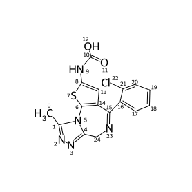 Cc1nnc2n1-c1sc(NC(=O)O)cc1C(c1ccccc1Cl)=NC2